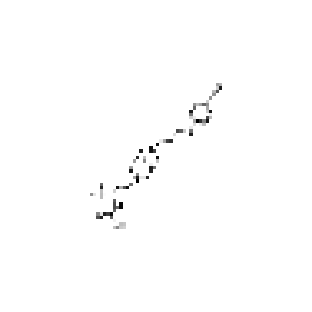 CC(C)(C)C(CCN1CC2CN(CCCOc3ccc(C#N)cc3)CC(C1)O2)NC(=O)O